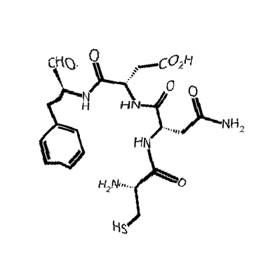 NC(=O)C[C@H](NC(=O)[C@@H](N)CS)C(=O)N[C@@H](CC(=O)O)C(=O)N[C@H]([C]=O)Cc1ccccc1